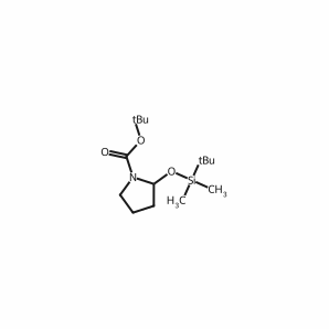 CC(C)(C)OC(=O)N1CCCC1O[Si](C)(C)C(C)(C)C